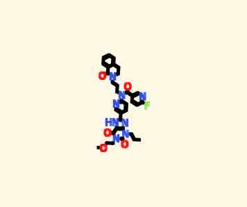 CCCn1c(=O)n(CCOC)c(=O)c2[nH]c(-c3ccc(N(CCCN4CCc5ccccc5C4=O)C(=O)c4ccc(F)nc4)nc3)nc21